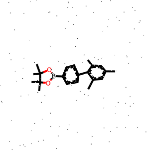 Cc1cc(C)c(-c2ccc(B3OC(C)(C)C(C)(C)O3)cc2)c(C)c1